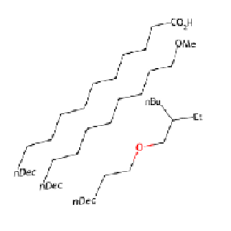 CCCCCCCCCCCCCCCCCCCC(=O)O.CCCCCCCCCCCCCCCCCCOC.CCCCCCCCCCCCOCC(CC)CCCC